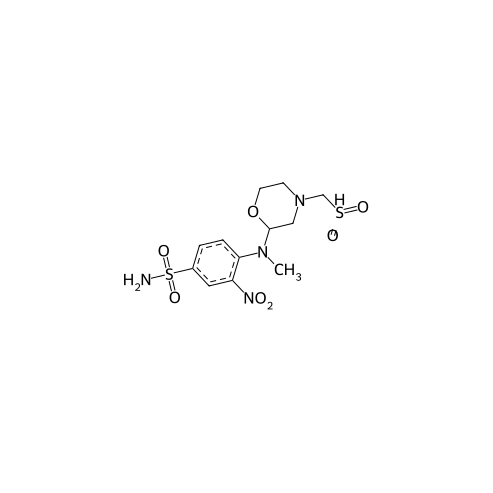 CN(c1ccc(S(N)(=O)=O)cc1[N+](=O)[O-])C1CN(C[SH](=O)=O)CCO1